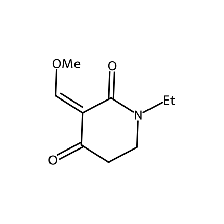 CCN1CCC(=O)C(=COC)C1=O